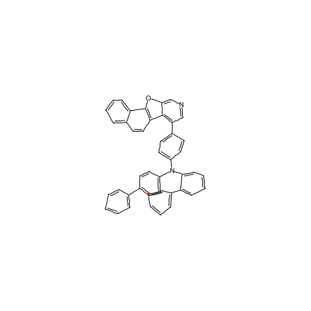 c1ccc(-c2ccc(N(c3ccc(-c4cncc5oc6c7ccccc7ccc6c45)cc3)c3ccccc3-c3ccccc3)cc2)cc1